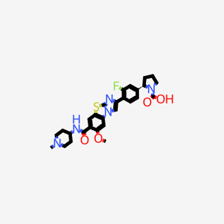 COc1cc2c(cc1C(=O)NC1CCN(C)CC1)sc1nc(-c3ccc([C@@H]4CCCN4C(=O)O)cc3F)cn12